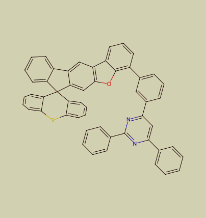 c1ccc(-c2cc(-c3cccc(-c4cccc5c4oc4cc6c(cc45)-c4ccccc4C64c5ccccc5Sc5ccccc54)c3)nc(-c3ccccc3)n2)cc1